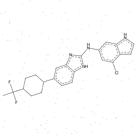 CC(F)(F)C1CCC(c2ccc3[nH]c(Nc4cc(Cl)c5cc[nH]c5c4)nc3c2)CC1